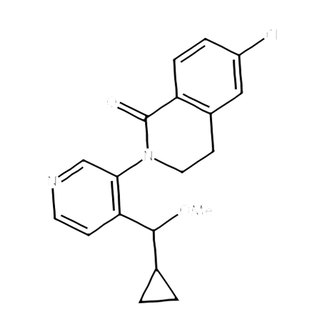 COC(c1ccncc1N1CCc2cc(Cl)ccc2C1=O)C1CC1